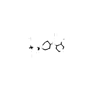 COC1COCCC1N(C)C1CCN(C(=O)OC(C)(C)C)CC1